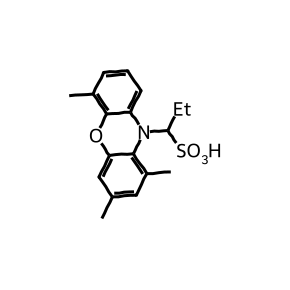 CCC(N1c2cccc(C)c2Oc2cc(C)cc(C)c21)S(=O)(=O)O